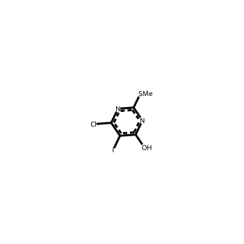 CSc1nc(O)c(I)c(Cl)n1